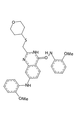 COc1ccccc1N.COc1ccccc1Nc1ccc2c(=O)[nH]c(CSC3CCOCC3)nc2c1